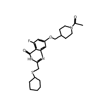 CC(=O)N1CCC(COc2cc(F)c3c(=O)[nH]c(CSC4CCCCC4)nc3c2)CC1